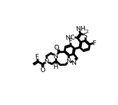 C=C(F)C(=O)N1CCN2C(=O)c3cc(F)c(-c4ccc(F)c5sc(N)c(C#N)c45)c4cnn(c34)CC[C@@H]2C1